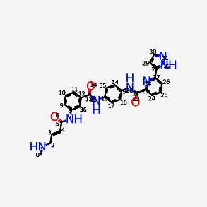 CNC/C=C/C(=O)Nc1cccc(C(=O)Nc2ccc(NC(=O)c3cccc(-c4ccn[nH]4)n3)cc2)c1